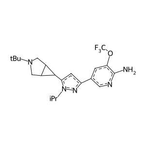 CC(C)n1nc(-c2cnc(N)c(OC(F)(F)F)c2)cc1C1C2CN(C(C)(C)C)CC21